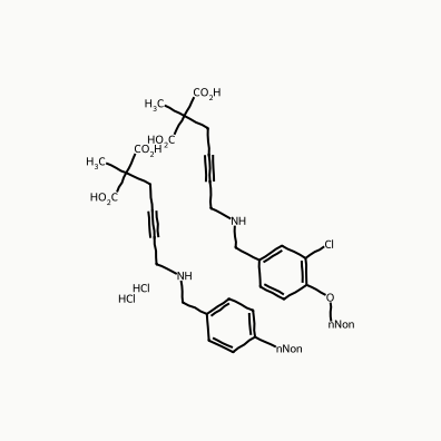 CCCCCCCCCOc1ccc(CNCC#CCC(C)(C(=O)O)C(=O)O)cc1Cl.CCCCCCCCCc1ccc(CNCC#CCC(C)(C(=O)O)C(=O)O)cc1.Cl.Cl